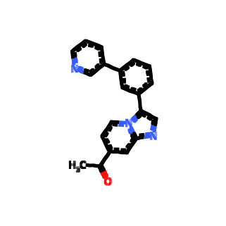 CC(=O)c1ccn2c(-c3cccc(-c4cccnc4)c3)cnc2c1